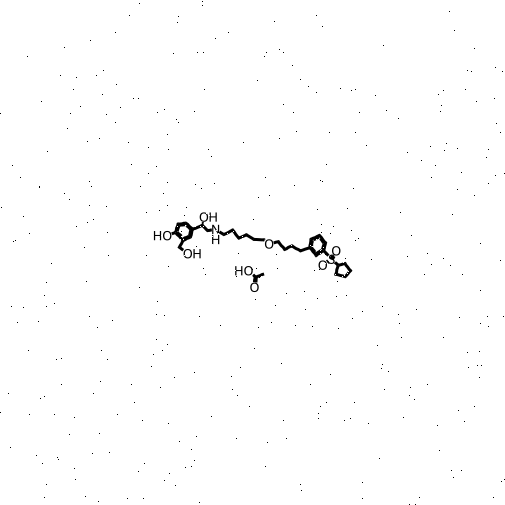 CC(=O)O.O=S(=O)(c1cccc(CCCCOCCCCCCNC[C@H](O)c2ccc(O)c(CO)c2)c1)C1CCCC1